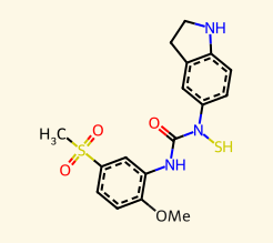 COc1ccc(S(C)(=O)=O)cc1NC(=O)N(S)c1ccc2c(c1)CCN2